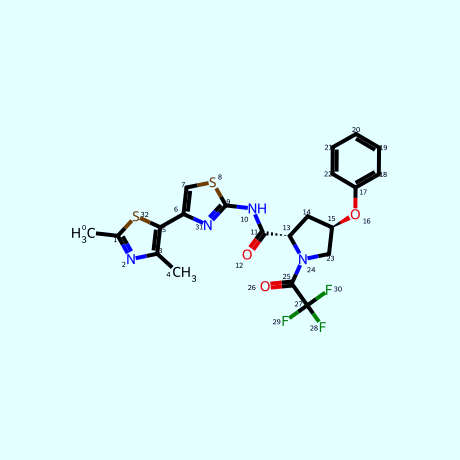 Cc1nc(C)c(-c2csc(NC(=O)[C@@H]3C[C@@H](Oc4ccccc4)CN3C(=O)C(F)(F)F)n2)s1